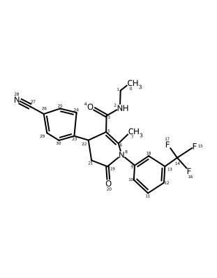 CCNC(=O)C1=C(C)N(c2cccc(C(F)(F)F)c2)C(=O)CC1c1ccc(C#N)cc1